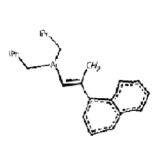 C/C(=[CH]\[Al]([CH2]C(C)C)[CH2]C(C)C)c1cccc2ccccc12